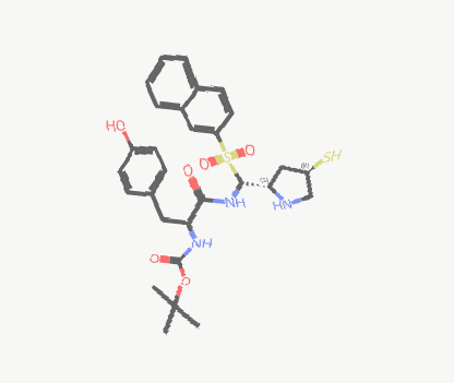 CC(C)(C)OC(=O)NC(Cc1ccc(O)cc1)C(=O)NC([C@@H]1C[C@@H](S)CN1)S(=O)(=O)c1ccc2ccccc2c1